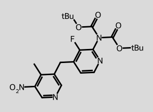 Cc1c(Cc2ccnc(N(C(=O)OC(C)(C)C)C(=O)OC(C)(C)C)c2F)cncc1[N+](=O)[O-]